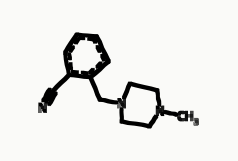 CN1CCN(Cc2ccccc2C#N)CC1